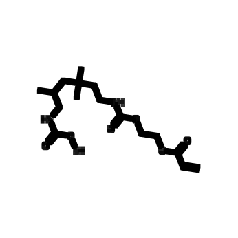 C=CC(=O)OCCOC(=O)NCCC(C)(C)CC(C)CNC(=O)OS